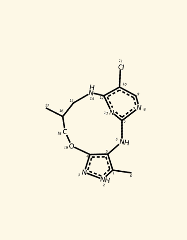 Cc1[nH]nc2c1Nc1ncc(Cl)c(n1)NCC(C)CO2